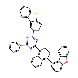 c1ccc(-c2nc(C3=c4ccccc4=C(c4cccc5oc6ccccc6c45)CC3)nc(-c3ccc4sc5ccccc5c4c3)n2)cc1